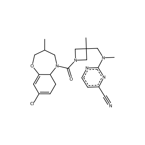 CC1COC2=CC(Cl)=CCC2N(C(=O)N2CC(C)(CN(C)c3nccc(C#N)n3)C2)C1